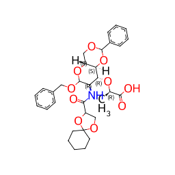 C[C@@H](O[C@H]1[C@@H]2OC(c3ccccc3)OC[C@H]2OC(OCc2ccccc2)[C@@H]1NC(=O)C1COC2(CCCCC2)O1)C(=O)O